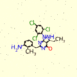 CCc1[nH]n(-c2c(Cl)cc(Cl)cc2Cl)c2nc(Cc3cccc(N)c3C)nc(=O)c1-2